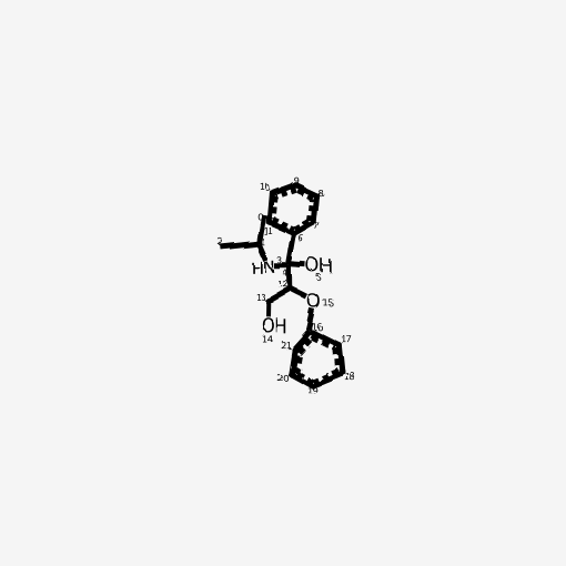 CC(C)NC(O)(c1ccccc1)C(CO)Oc1ccccc1